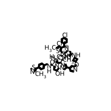 Cc1ncsc1-c1ccc(CNC(=O)[C@@H]2C[C@@H](O)CN2C(=O)[C@@H](C(C)C)n2cc(-c3ccnc(O[C@H]4C[C@H](NC(=O)C[C@@H]5N=C(c6ccc(Cl)cc6)c6c(sc(C)c6C)-n6c(C)nnc65)C4)c3)cn2)cc1